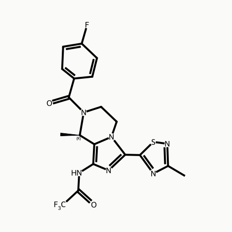 Cc1nsc(-c2nc(NC(=O)C(F)(F)F)c3n2CCN(C(=O)c2ccc(F)cc2)[C@@H]3C)n1